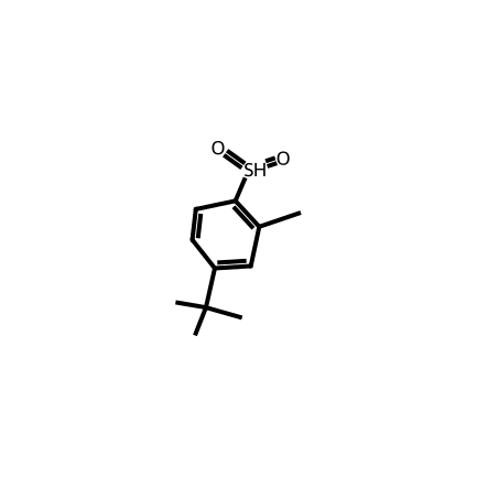 Cc1cc(C(C)(C)C)ccc1[SH](=O)=O